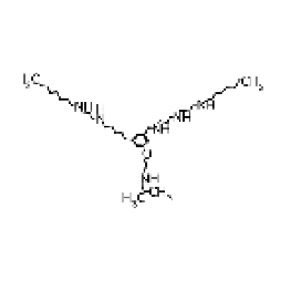 CCCCCCCCNCCCNCCCCCc1cc(CNCCCNCCCNCCCCCCCC)cc(OCCCNCC(C)C)c1